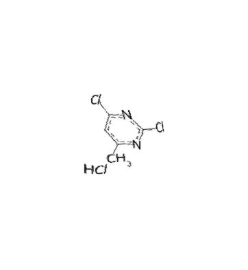 Cc1cc(Cl)nc(Cl)n1.Cl